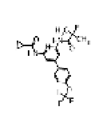 CC(C)(F)C(=O)Nc1cc(-c2ccc(OC(F)(F)F)cc2)cc(NC(=O)C2CC2)n1